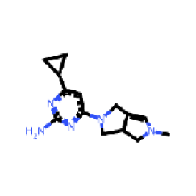 CN1C=C2CN(c3cc(C4CC4)nc(N)n3)CC2C1